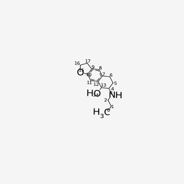 CCCNC1CCc2cc3c(cc2C1O)OCC3